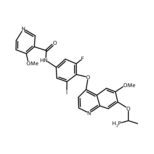 COc1cc2c(Oc3c(F)cc(NC(=O)c4cnccc4OC)cc3I)ccnc2cc1OC(C)P